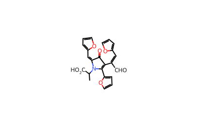 CC(C(=O)O)N1C(c2ccco2)=C(/C(C=O)=C\c2ccco2)C(=O)/C1=C\c1ccco1